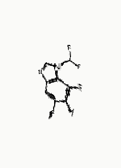 Fc1cc2ncn(C(F)F)c2c(F)c1I